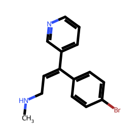 CNC/C=C(\c1ccc(Br)cc1)c1cccnc1